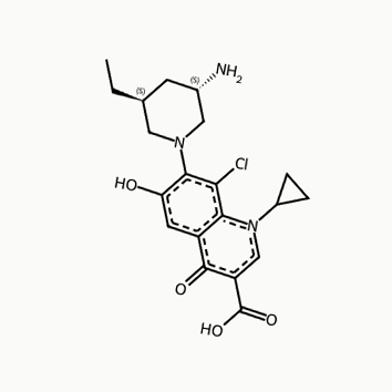 CC[C@H]1C[C@H](N)CN(c2c(O)cc3c(=O)c(C(=O)O)cn(C4CC4)c3c2Cl)C1